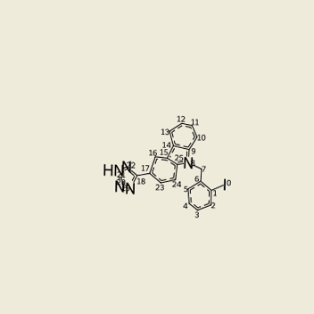 Ic1ccccc1Cn1c2ccccc2c2cc(-c3nn[nH]n3)ccc21